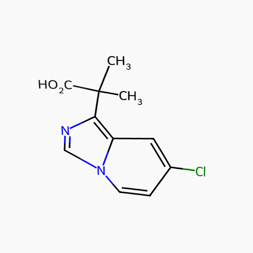 CC(C)(C(=O)O)c1ncn2ccc(Cl)cc12